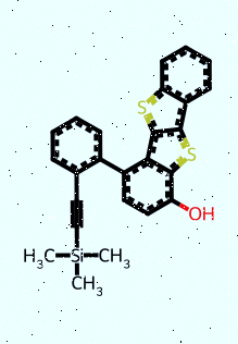 C[Si](C)(C)C#Cc1ccccc1-c1ccc(O)c2sc3c4ccccc4sc3c12